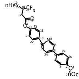 CCCCCCCCOc1ccc(-c2cnc(-c3ccc(OC(=O)CC(CCCCCC)C(F)(F)F)cc3)nc2)cc1